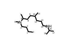 CCCCN(C)C(C)CCC(C)CCCNC(C)C